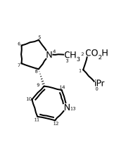 CC(C)CC(=O)O.CN1CCC[C@H]1c1cccnc1